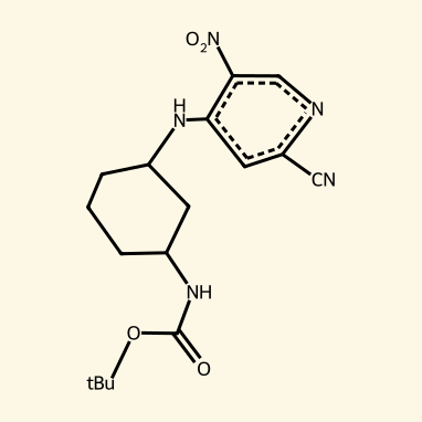 CC(C)(C)OC(=O)NC1CCCC(Nc2cc(C#N)ncc2[N+](=O)[O-])C1